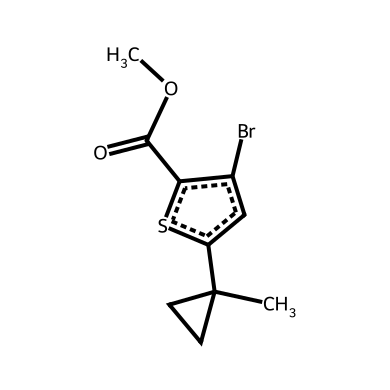 COC(=O)c1sc(C2(C)CC2)cc1Br